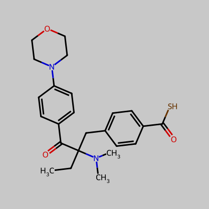 CCC(Cc1ccc(C(=O)S)cc1)(C(=O)c1ccc(N2CCOCC2)cc1)N(C)C